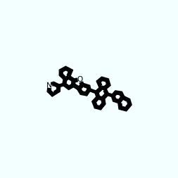 c1cncc(-c2cc3c4ccc(-c5c6ccccc6c(-c6ccc7ccccc7c6)c6ccccc56)cc4oc3c3ccccc23)c1